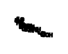 COC(=O)C(CNC(=O)c1cccs1)NC(=O)c1c(C)nc(NCCCc2ccc(O)cc2)nc1C